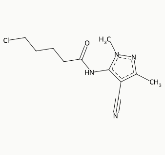 Cc1nn(C)c(NC(=O)CCCCCl)c1C#N